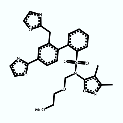 COCCOCN(c1onc(C)c1C)S(=O)(=O)c1ccccc1-c1ccc(-c2ncco2)cc1Cc1ncco1